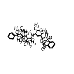 CN[C@H](C(=O)N[C@H](C(=O)N(C)[C@H](/C=C(\C)C(=O)NS(=O)(=O)c1ccccc1[N+](=O)[O-])C(C)C)C(C)(C)C)C(C)(C)c1ccccc1